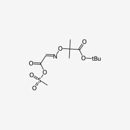 CC(C)(C)OC(=O)C(C)(C)ON=CC(=O)OS(C)(=O)=O